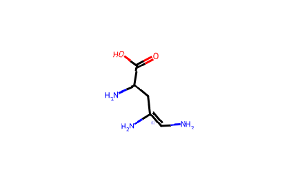 N/C=C(/N)CC(N)C(=O)O